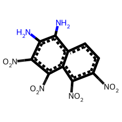 Nc1c([N+](=O)[O-])c([N+](=O)[O-])c2c([N+](=O)[O-])c([N+](=O)[O-])ccc2c1N